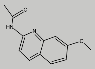 COc1ccc2ccc(NC(C)=O)nc2c1